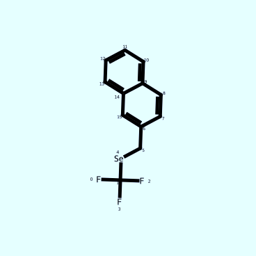 FC(F)(F)[Se]Cc1ccc2ccccc2c1